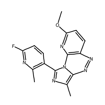 COc1ccc2nnc3c(C)nc(-c4ccc(F)nc4C)n3c2n1